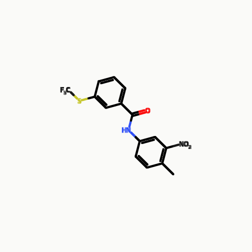 Cc1ccc(NC(=O)c2cccc(SC(F)(F)F)c2)cc1[N+](=O)[O-]